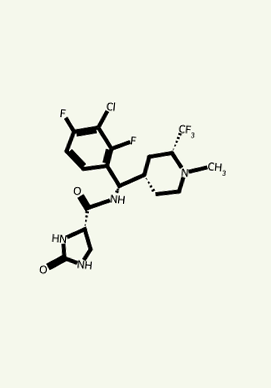 CN1CC[C@H]([C@H](NC(=O)[C@@H]2CNC(=O)N2)c2ccc(F)c(Cl)c2F)C[C@@H]1C(F)(F)F